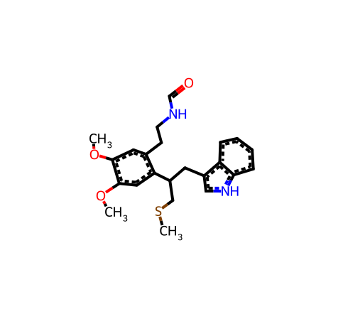 COc1cc(CCNC=O)c(C(CSC)Cc2c[nH]c3ccccc23)cc1OC